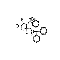 CCCCO[C@H]1[C@@H](F)C(O)O[C@@]1(COC(c1ccccc1)(c1ccccc1)c1ccccc1)C(F)(F)F